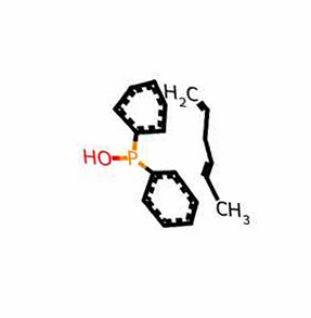 C=CCC=CC.OP(c1ccccc1)c1ccccc1